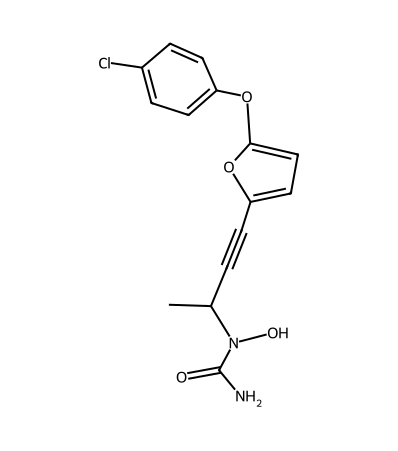 CC(C#Cc1ccc(Oc2ccc(Cl)cc2)o1)N(O)C(N)=O